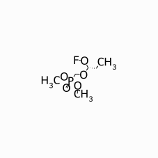 CC[C@@H](OF)OCP(=O)(OC)OC